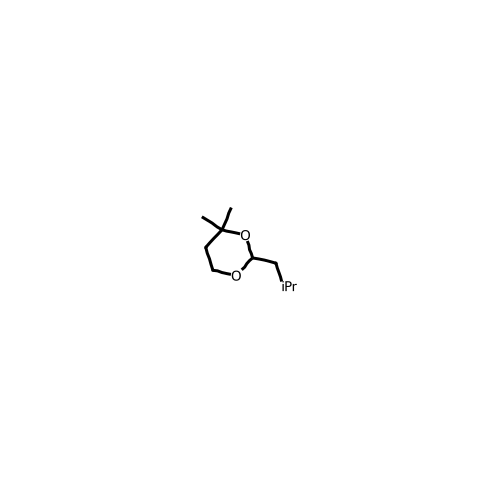 CC(C)CC1OCCC(C)(C)O1